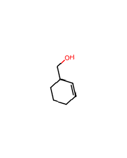 OCC1C=CCCC1